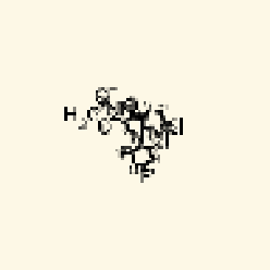 CC(NC(=O)c1cn(-c2c(F)cc(F)cc2Cl)c2nc(Cl)ccc2c1=O)C(F)(F)F